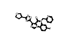 O=c1c2c(-c3nc(C4CCOC4)no3)ncn2c2ccc(F)cc2n1Cc1ccccn1